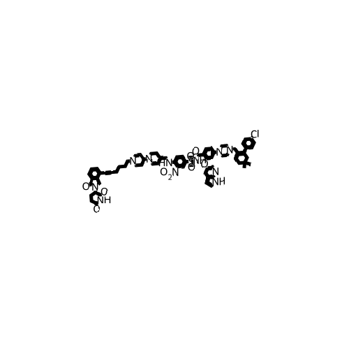 CC1(C)CCC(CN2CCN(c3ccc(C(=O)NS(=O)(=O)c4ccc(NCC5CCN(C6CCN(CCCCC#Cc7cccc8c7CN(C7CCC(=O)NC7=O)C8=O)CC6)CC5)c([N+](=O)[O-])c4)c(Oc4cnc5[nH]ccc5c4)c3)CC2)=C(c2ccc(Cl)cc2)C1